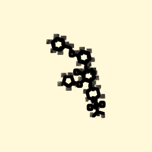 CC(C)S(=O)(=O)N1CCN(c2cnn(-c3cccc(OCc4ccccc4)c3)c(=O)c2OC2CCCC2)CC1